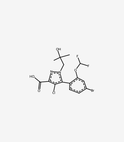 CC(C)(O)Cn1nc(C(=O)O)c(Cl)c1-c1ccc(Br)cc1OC(F)F